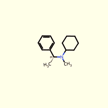 C[C@H](c1ccccc1)N(C)C1CCCCC1